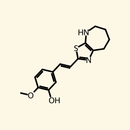 COc1ccc(C=Cc2nc3c(s2)NCCCC3)cc1O